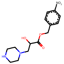 O=C(OCc1ccc([N+](=O)[O-])cc1)C(O)CN1CCNCC1